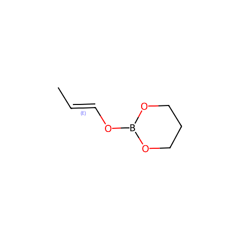 C/C=C/OB1OCCCO1